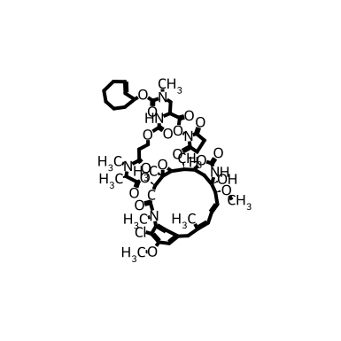 COc1cc2cc(c1Cl)N(C)C(=O)C[C@H](OC(=O)[C@H](C)N(C)C(=O)CCOC(=O)NC(CN(C)C(=O)OC1/C=C/CCCCC1)C(=O)ON1C(=O)CCC1=O)[C@]1(C)OC1[C@H](C)[C@@H]1C[C@@](O)(NC(=O)O1)[C@H](OC)/C=C/C=C(\C)C2